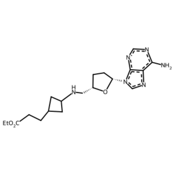 CCOC(=O)CCC1CC(NC[C@@H]2CC[C@H](n3cnc4c(N)ncnc43)O2)C1